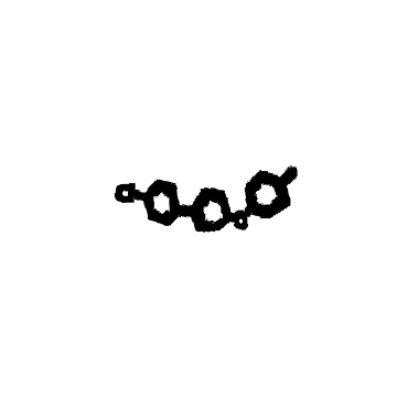 Cc1ccc(Oc2ccc(-c3ccc(Cl)cc3)cc2)cc1